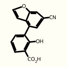 N#Cc1cc(-c2cccc(C(=O)O)c2O)c2ccoc2c1